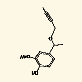 CC#CCOC(C)c1ccc(O)c(OC)c1